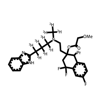 [2H]C([2H])([2H])N(CCC1(OC(=O)COC)CC(F)(F)c2cc(F)ccc2C1C(C)C)C([2H])([2H])C([2H])([2H])C([2H])([2H])c1nc2ccccc2[nH]1